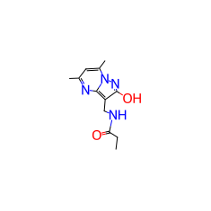 CCC(=O)NCc1c(O)nn2c(C)cc(C)nc12